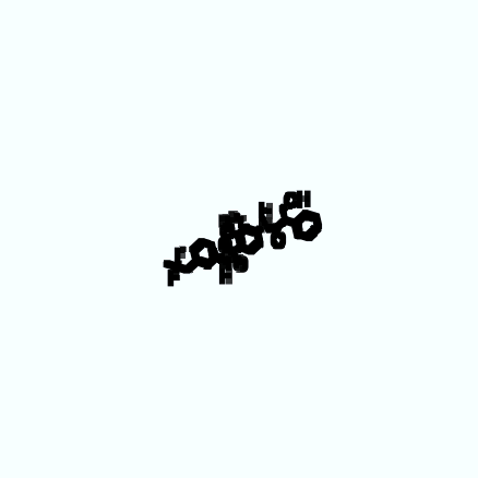 CCCOc1cc(NC(=O)[C@@H](CO)c2ccccc2)ccc1S(=O)(=O)Nc1cccc(CC(C)(F)F)c1